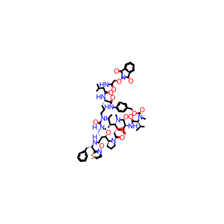 CC[C@H](C)[C@@H]([C@@H](CC(=O)N1CCC[C@H]1[C@H](OC)[C@@H](C)C(=O)N[C@@H](Cc1ccccc1)c1nccs1)OC)N(C)C(=O)[C@@H](NC(=O)[C@H](C(C)C)N(C)C(=O)OCc1ccc(NC(=O)[C@H](CCCNC(N)=O)NC(=O)[C@@H](NC(=O)CON2C(=O)c3ccccc3C2=O)C(C)C)cc1)C(C)C